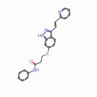 O=C(CCSc1ccc2c(C=Cc3ccccn3)n[nH]c2c1)Nc1ccccc1